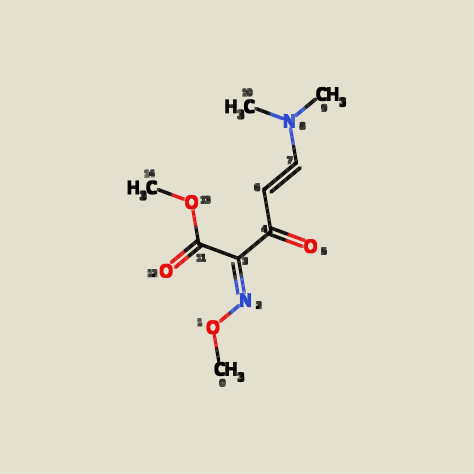 CON=C(C(=O)C=CN(C)C)C(=O)OC